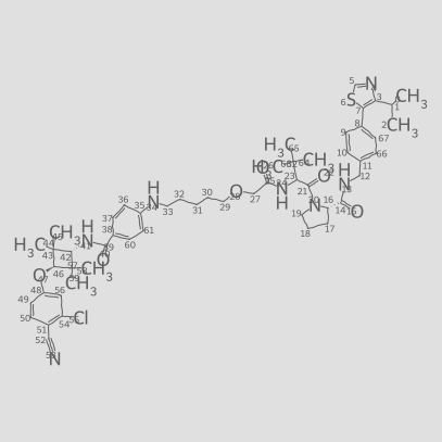 CC(C)c1ncsc1-c1ccc(CNC(=O)[C@@H]2CCCN2C(=O)C(NC(=O)COCCCCCNc2ccc(C(=O)N[C@H]3C(C)(C)[C@H](Oc4ccc(C#N)c(Cl)c4)C3(C)C)cc2)C(C)(C)C)cc1